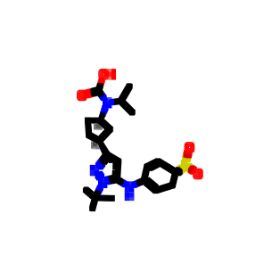 CC(C)N(C(=O)O)[C@@H]1CC[C@H](c2cc(NC3=CCC(=S(=O)=O)C=C3)n(C(C)(C)C)n2)C1